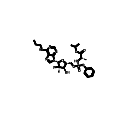 CCCNc1ncnc2c1ncn2[C@@H]1O[C@H](CO[P@@](=O)(N[C@@H](C)C(=O)OC(C)C)Oc2ccccc2)[C@@H](O)[C@@]1(C)F